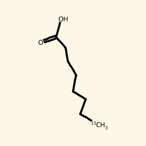 [13CH3]CCCCCCC(=O)O